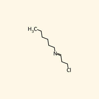 CCCCCCN=CCCCl